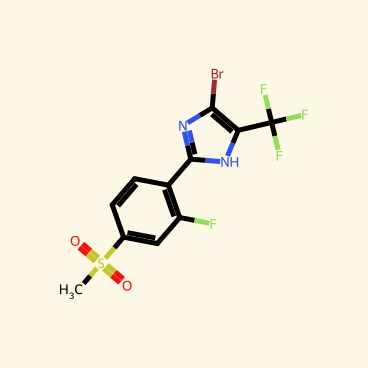 CS(=O)(=O)c1ccc(-c2nc(Br)c(C(F)(F)F)[nH]2)c(F)c1